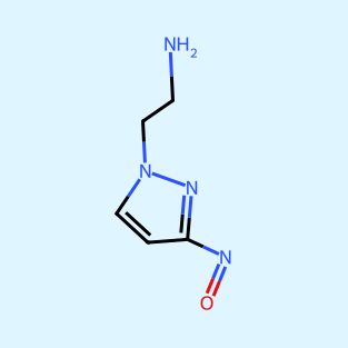 NCCn1ccc(N=O)n1